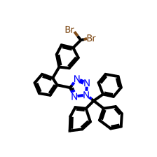 BrC(Br)c1ccc(-c2ccccc2-c2nnn(C(c3ccccc3)(c3ccccc3)c3ccccc3)n2)cc1